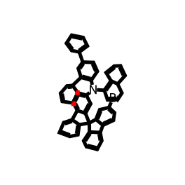 Brc1ccc2c(c1)C1(c3ccccc3-2)c2ccccc2-c2ccc(N(C3=C4C=CC=CC4CC=C3)c3ccc(-c4ccccc4)cc3-c3ccccc3)cc21